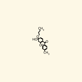 CCCCOC1(O)C=CC(C(=O)c2ccc(C)cc2)=C(O)C1